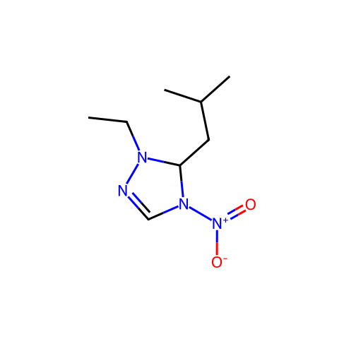 CCN1N=CN([N+](=O)[O-])C1CC(C)C